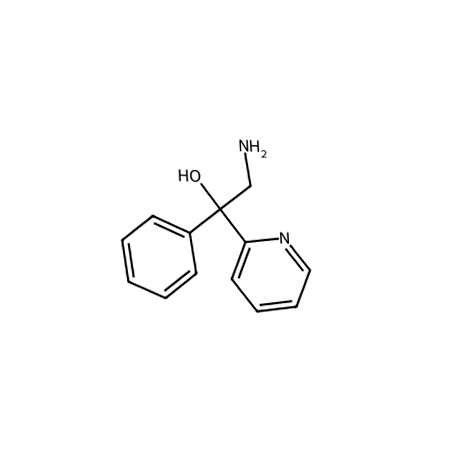 NCC(O)(c1ccccc1)c1ccccn1